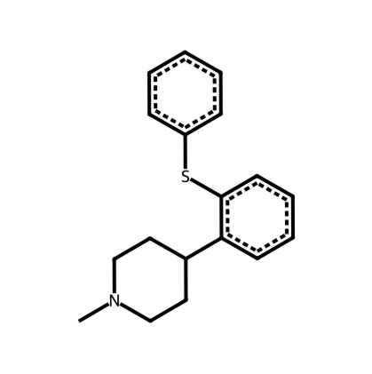 CN1CCC(c2ccccc2Sc2ccccc2)CC1